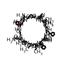 CCCCC[C@H]1C(=O)N(C)[C@@H](CCCC)C(=O)N[C@@H](C(C)C)C(=O)N[C@H](C(=O)NCC(N)=O)CSCC(=O)N[C@@H](Cc2ccccc2)C(=O)N(C)[C@@H](C)C(=O)N[C@@H](CC(N)=O)C(=O)N2CCC[C@H]2C(=O)N[C@@H](Cc2cnc[nH]2)C(=O)N[C@@H](CC(C)C)C(=O)N(C)CC(=O)N[C@@H](Cc2c[nH]c3ccccc23)C(=O)N[C@@H](CO)C(=O)N[C@@H](Cc2c[nH]c3ccccc23)C(=O)N1C